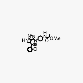 CO[C@@H](C)C(=O)N[C@H]1CC[C@@H](Nc2ncnc3[nH]cc(C(=O)c4ccccc4Cl)c23)CC1